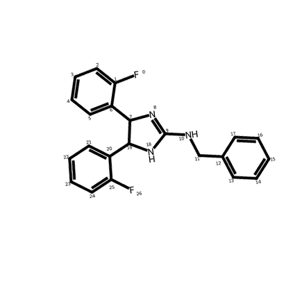 Fc1ccccc1C1N=C(NCc2ccccc2)NC1c1ccccc1F